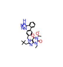 CCn1c(=O)n(C(C)OC)c(=O)c2c1nc(CC(C)(C)C)n2Cc1ccc(-c2ccccc2-c2nnn[nH]2)cc1